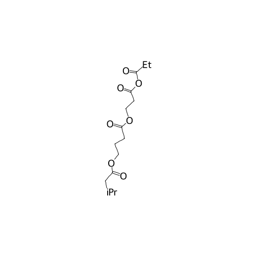 CCC(=O)OC(=O)CCOC(=O)CCCOC(=O)CC(C)C